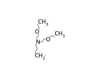 [CH2]CCCN(CCOCCC)CCOCCC